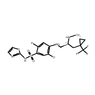 CN[C@H](CNc1cc(F)c(S(=O)(=O)Nc2nccs2)cc1Cl)CC1(C(F)(F)F)CC1